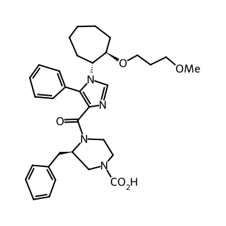 COCCCO[C@@H]1CCCCC[C@H]1n1cnc(C(=O)N2CCN(C(=O)O)C[C@H]2Cc2ccccc2)c1-c1ccccc1